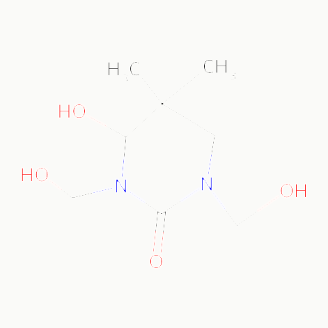 CC1(C)CN(CO)C(=O)N(CO)C1O